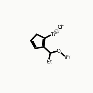 CCC(OC(C)C)C1=[C]([Ti+2])CC=C1.[Cl-].[Cl-]